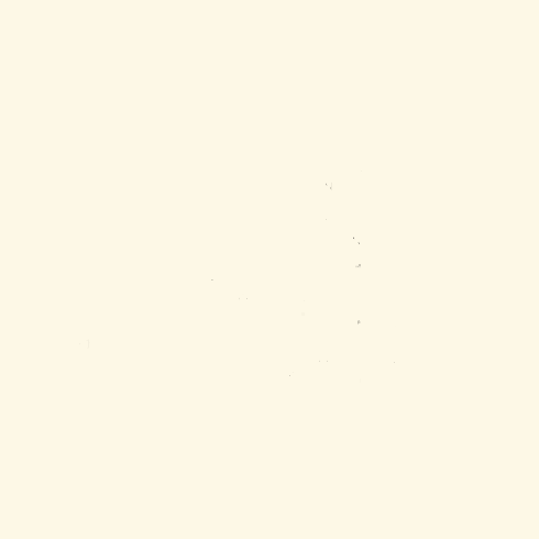 CC(=O)O[C@@H]1[C@H](OC(C)=O)[C@@](F)(COC(=O)c2ccc(Cl)cc2)O[C@@]1(c1c(C)cccc1C)n1ccc(=O)[nH]c1=O